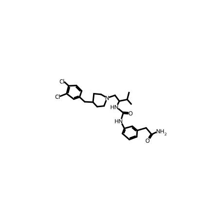 CC(C)C(CN1CCC(Cc2ccc(Cl)c(Cl)c2)CC1)NC(=O)Nc1cccc(CC(N)=O)c1